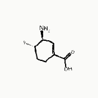 N[C@H]1C=C(C(=O)O)CC[C@@H]1F